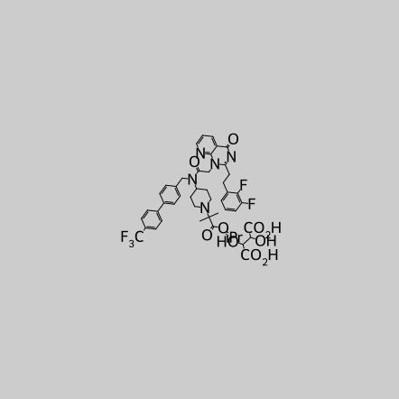 CC(C)OC(=O)C(C)(C)N1CCC(N(Cc2ccc(-c3ccc(C(F)(F)F)cc3)cc2)C(=O)Cn2c(CCc3cccc(F)c3F)nc(=O)c3cccnc32)CC1.O=C(O)C(O)C(O)C(=O)O